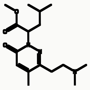 COC(=O)C(CC(C)C)n1nc(CCN(C)C)c(C)cc1=O